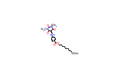 CCCCCCCCCCCCCCCCCCOC(=O)c1ccc(NC=C2C(=O)N(C)C(=O)N(C)C2=O)cc1